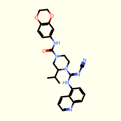 CC(C)C1CN(C(=O)Nc2ccc3c(c2)OCCO3)CCN1/C(=N\C#N)Nc1cccc2ncccc12